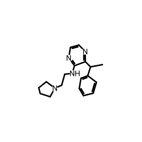 CC(c1ccccc1)c1nccnc1NCCN1CCCC1